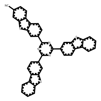 N#Cc1ccc2c(c1)sc1cc(-c3nc(-c4ccc5c(c4)sc4ccccc45)nc(-c4ccc5c(c4)sc4ccccc45)n3)ccc12